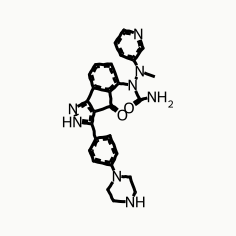 CN(c1cccnc1)N(C(N)=O)c1cccc2c1C(=O)c1c-2n[nH]c1-c1ccc(N2CCNCC2)cc1